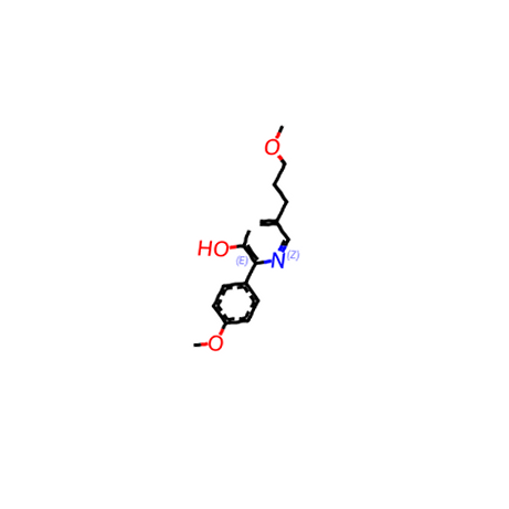 C=C(/C=N\C(=C(/C)O)c1ccc(OC)cc1)CCCOC